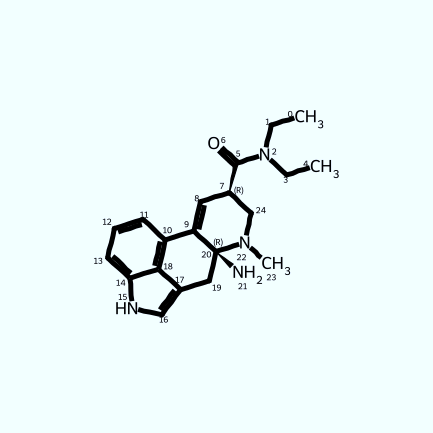 CCN(CC)C(=O)[C@@H]1C=C2c3cccc4[nH]cc(c34)C[C@@]2(N)N(C)C1